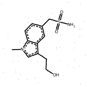 Cn1cc(CCO)c2cc(CS(N)(=O)=O)ccc21